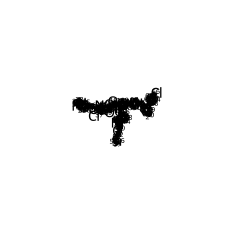 CC1(C)CCC(CN2CCN(c3ccc(C(=O)NS(=O)(=O)c4cnc(OCC5CCc6nccn6C5)c(Cl)c4)c(Oc4cccc5c4cnn5COCC[Si](C)(C)C)c3)CC2)=C(c2ccc(Cl)cc2)C1